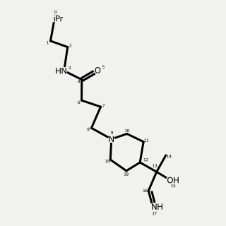 CC(C)CCNC(=O)CCCN1CCC(C(C)(O)C=N)CC1